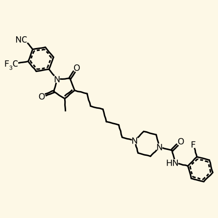 CC1=C(CCCCCCN2CCN(C(=O)Nc3ccccc3F)CC2)C(=O)N(c2ccc(C#N)c(C(F)(F)F)c2)C1=O